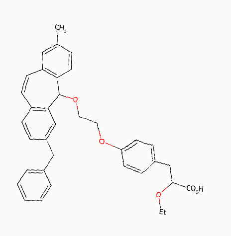 CCOC(Cc1ccc(OCCOC2c3ccc(C)cc3C=Cc3ccc(Cc4ccccc4)cc32)cc1)C(=O)O